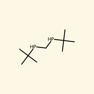 CC(C)(C)PCPC(C)(C)C